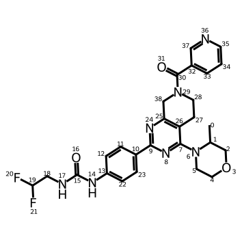 CC1COCCN1c1nc(-c2ccc(NC(=O)NCC(F)F)cc2)nc2c1CCN(C(=O)c1cccnc1)C2